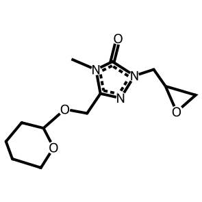 Cn1c(COC2CCCCO2)nn(CC2CO2)c1=O